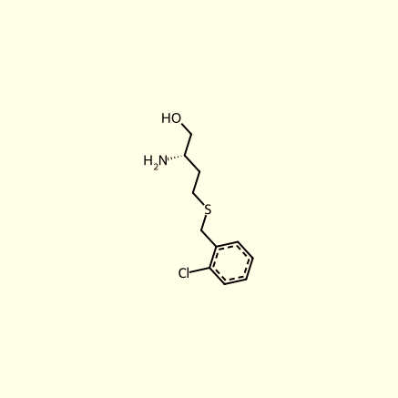 N[C@H](CO)CCSCc1ccccc1Cl